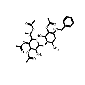 CC(=O)OC1C(NCc2ccccc2)CC(N)C(OC2OC([C@@H](C)OC(C)=O)C(OC(C)=O)C(OC(C)=O)C2N)C1O